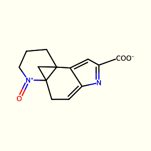 O=C([O-])C1=NC2=CCC34CC3(CCC[N+]4=O)C2=C1